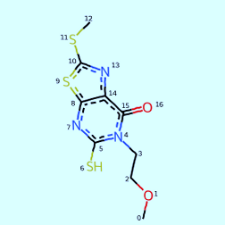 COCCn1c(S)nc2sc(SC)nc2c1=O